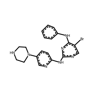 Brc1cnc(Nc2ccc(N3CCNCC3)cn2)nc1Nc1ccccc1